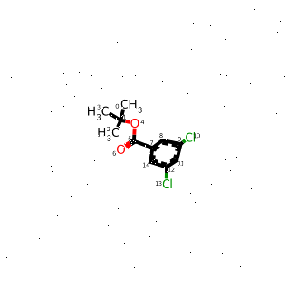 CC(C)(C)OC(=O)c1cc(Cl)cc(Cl)c1